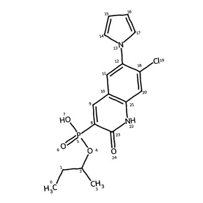 CCC(C)OP(=O)(O)c1cc2cc(-n3cccc3)c(Cl)cc2[nH]c1=O